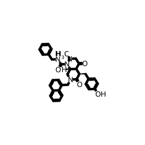 CN1CC(=O)C2[C@@H](Cc3ccc(O)cc3)C(=O)N(Cc3cccc4ccccc34)C[C@@H]2N1C(=O)NCc1ccccc1